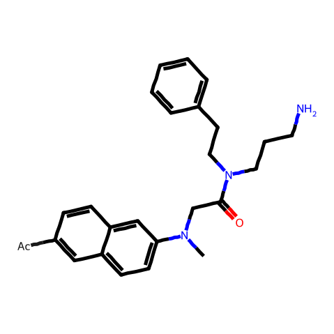 CC(=O)c1ccc2cc(N(C)CC(=O)N(CCCN)CCc3ccccc3)ccc2c1